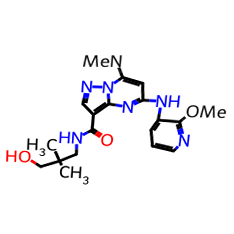 CNc1cc(Nc2cccnc2OC)nc2c(C(=O)NCC(C)(C)CO)cnn12